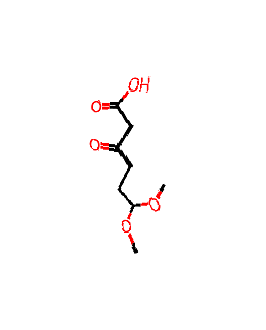 COC(CCC(=O)CC(=O)O)OC